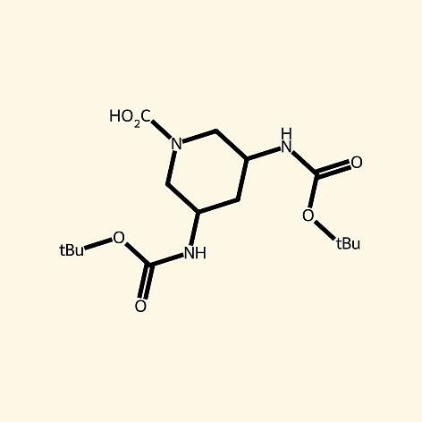 CC(C)(C)OC(=O)NC1CC(NC(=O)OC(C)(C)C)CN(C(=O)O)C1